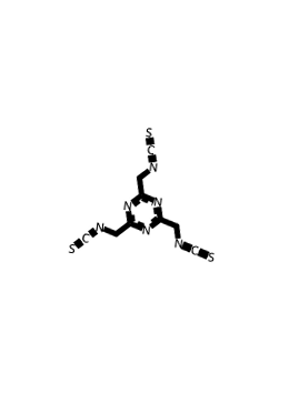 S=C=NCc1nc(CN=C=S)nc(CN=C=S)n1